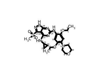 CCOc1cc(N2CCOCC2)c(OCC)cc1Nc1nc(NC2CC2)c2c(S(C)(=O)=O)n[nH]c2n1